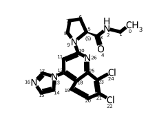 CCNC(=O)[C@@H]1CCCN1c1cc(-n2ccnc2)c2ccc(Cl)c(Cl)c2n1